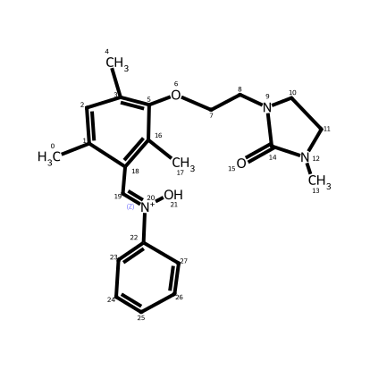 Cc1cc(C)c(OCCN2CCN(C)C2=O)c(C)c1/C=[N+](\O)c1ccccc1